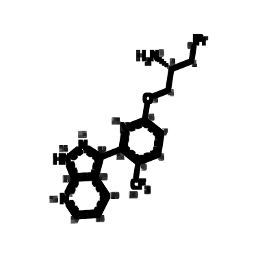 CC(C)C[C@@H](N)COc1ccc(C(F)(F)F)c(-c2n[nH]c3ncccc23)n1